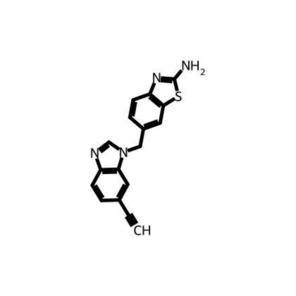 C#Cc1ccc2ncn(Cc3ccc4nc(N)sc4c3)c2c1